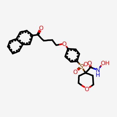 O=C(CCCOc1ccc(S(=O)(=O)C2(C(=O)NO)CCOCC2)cc1)c1ccc2ccccc2c1